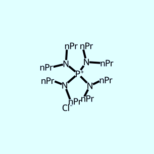 CCCN(CCC)[P+](N(CCC)CCC)(N(CCC)CCC)N(CCC)CCC.[Cl-]